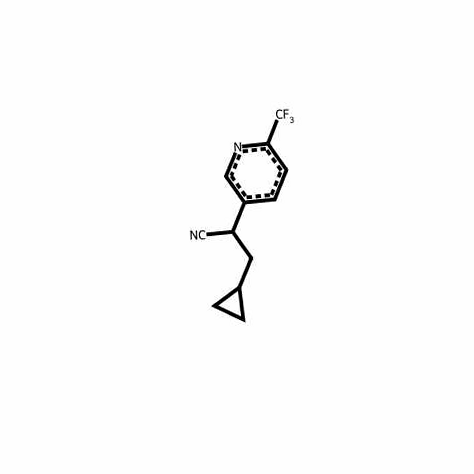 N#CC(CC1CC1)c1ccc(C(F)(F)F)nc1